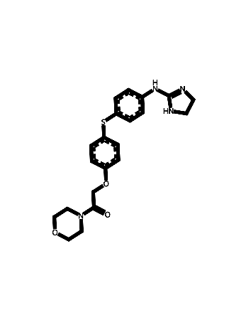 O=C(COc1ccc(Sc2ccc(NC3=NCCN3)cc2)cc1)N1CCOCC1